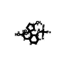 C[C@@H]1CCC(O)(c2c(CC(=O)O)cccc2OC(F)(F)F)C1